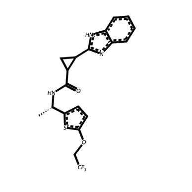 C[C@H](NC(=O)C1CC1c1nc2ccccc2[nH]1)c1ccc(OCC(F)(F)F)s1